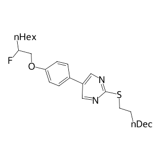 CCCCCCCCCCCCSc1ncc(-c2ccc(OCC(F)CCCCCC)cc2)cn1